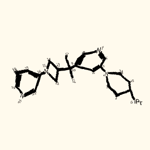 CC(C)C1CCN(c2cncc(C(C)(C)C3CN(c4cccnc4)C3)c2)CC1